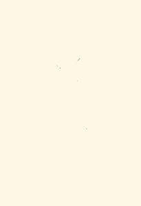 C[C@H](N)C(=O)OC1CCN(Cl)CC1